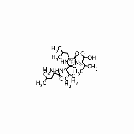 CC(C)C[C@H](NC(=O)[C@@H](NC(=O)[C@@H](N)CC(C)C)C(C)C)C(=O)N[C@H](C(=O)O)C(C)C